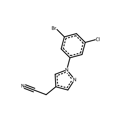 N#CCc1cnn(-c2cc(Cl)cc(Br)c2)c1